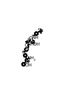 Cc1ncsc1-c1ccc([C@H](C)NC(=O)[C@@H]2C[C@@H](O)CN2C(=O)C(NC(=O)CN2CCC(N(C)c3ccc(-c4cc(-c5ccccc5O)nnc4N)cc3)CC2)C(C)(C)C)cc1